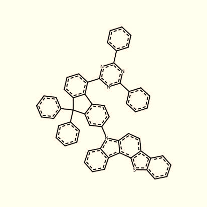 c1ccc(-c2nc(-c3ccccc3)nc(-c3cccc4c3-c3ccc(-n5c6ccccc6c6c7sc8ccccc8c7ccc65)cc3C4(c3ccccc3)c3ccccc3)n2)cc1